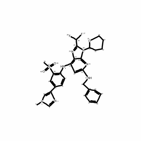 Cn1cnc(-c2ccc(Nc3cc(NCc4ccccc4)nc4c3nc(C(F)F)n4C3CCCCO3)c(S(C)(=O)=O)c2)c1